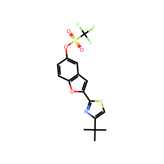 CC(C)(C)c1csc(-c2cc3cc(OS(=O)(=O)C(F)(F)F)ccc3o2)n1